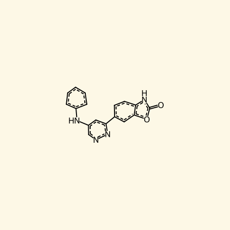 O=c1[nH]c2ccc(-c3cc(Nc4ccccc4)cnn3)cc2o1